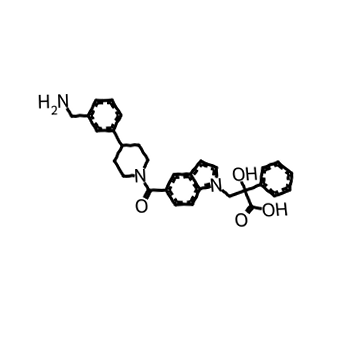 NCc1cccc(C2CCN(C(=O)c3ccc4c(ccn4CC(O)(C(=O)O)c4ccccc4)c3)CC2)c1